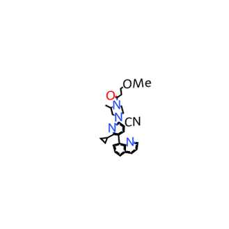 COCCC(=O)N1CCN(c2nc(C3CC3)c(-c3cccc4cccnc34)cc2C#N)CC1C